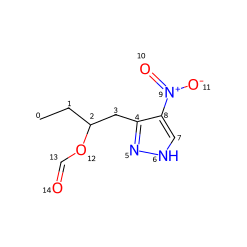 CCC(Cc1n[nH]cc1[N+](=O)[O-])OC=O